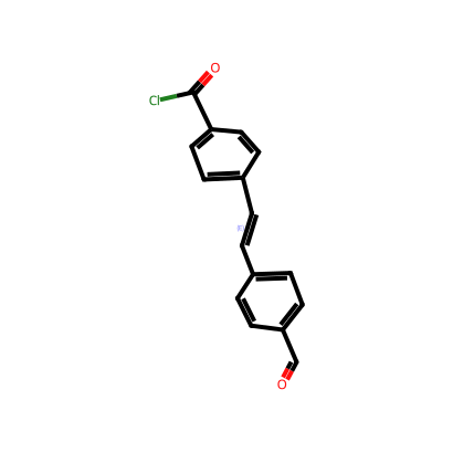 O=Cc1ccc(/C=C/c2ccc(C(=O)Cl)cc2)cc1